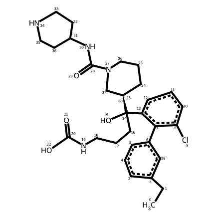 CCc1cccc(-c2c(Cl)cccc2C(O)(CCCNC(=O)O)[C@@H]2CCCN(C(=O)NC3CCNCC3)C2)c1